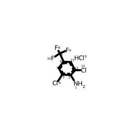 Cl.Nc1c(Cl)cc(C(F)(F)F)cc1Cl